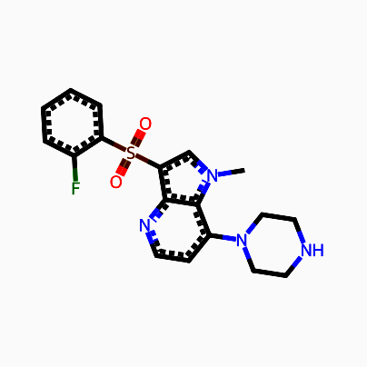 Cn1cc(S(=O)(=O)c2ccccc2F)c2nccc(N3CCNCC3)c21